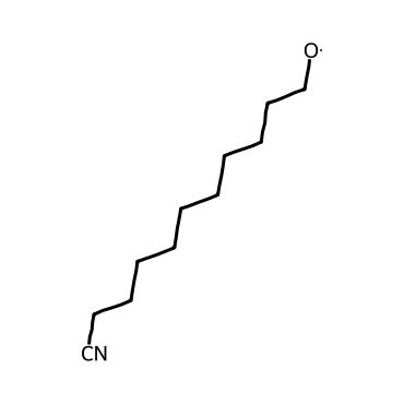 N#CCCCCCCCCCC[O]